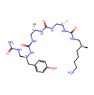 CC(C)[C@@H](CNC(=O)N[C@H](CNC(N)=O)Cc1ccc(O)cc1)NC(=O)NC[C@H](C)NC(=O)NC[C@@H](C)CCCCN